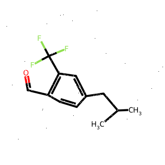 CC(C)Cc1ccc(C=O)c(C(F)(F)F)c1